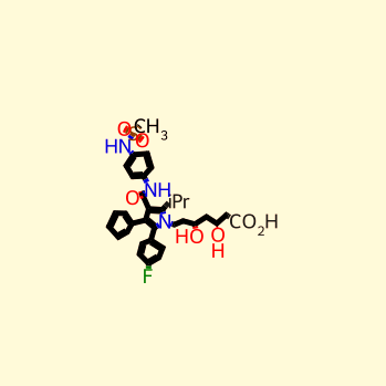 CC(C)c1c(C(=O)Nc2ccc(NS(C)(=O)=O)cc2)c(-c2ccccc2)c(-c2ccc(F)cc2)n1CCC(O)C[C@@H](O)CC(=O)O